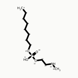 CCCCCCCCOP(=O)(O)OCCNC